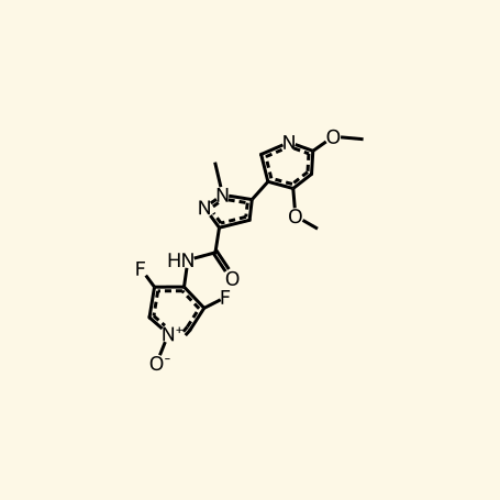 COc1cc(OC)c(-c2cc(C(=O)Nc3c(F)c[n+]([O-])cc3F)nn2C)cn1